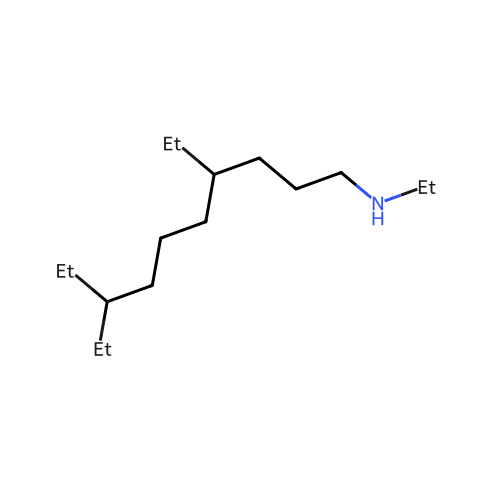 CCNCCCC(CC)CCCC(CC)CC